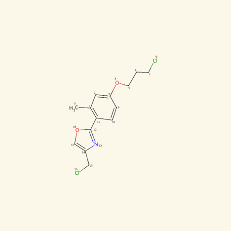 Cc1cc(OCCCCl)ccc1-c1nc(CCl)co1